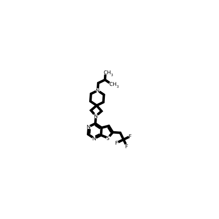 CC(C)CN1CCC2(CC1)CN(c1ncnc3sc(CC(F)(F)F)cc13)C2